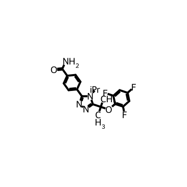 CC(C)n1c(-c2ccc(C(N)=O)cc2)nnc1C(C)(C)Oc1c(F)cc(F)cc1F